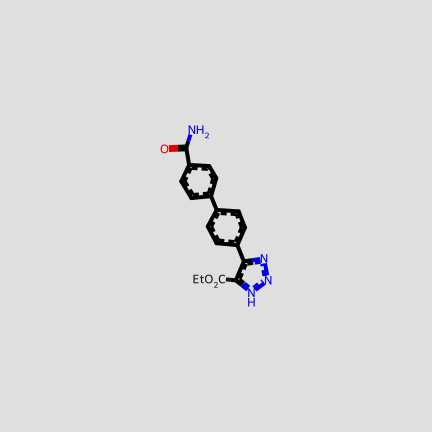 CCOC(=O)c1[nH]nnc1-c1ccc(-c2ccc(C(N)=O)cc2)cc1